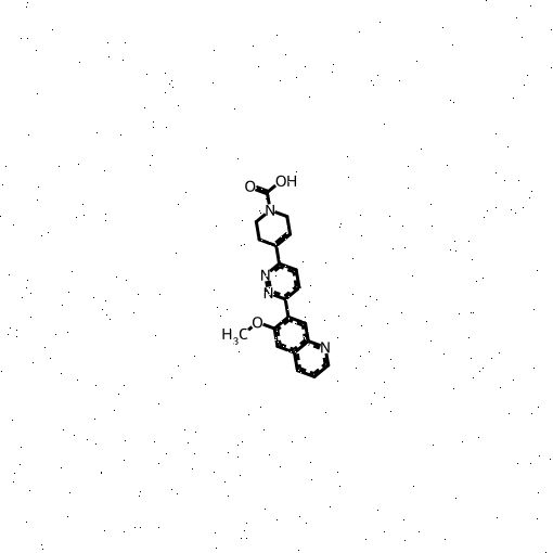 COc1cc2cccnc2cc1-c1ccc(C2=CCN(C(=O)O)CC2)nn1